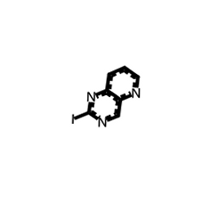 Ic1ncc2ncccc2n1